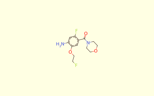 Nc1cc(F)c(C(=O)N2CCOCC2)cc1OCCF